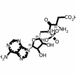 Nc1ncnc2c1ncn2[C@@H]1O[C@H](CN(C(=O)[C@@H](N)CC(=O)O)P(=O)(O)O)C(O)C1O